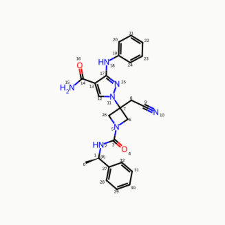 C[C@@H](NC(=O)N1CC(CC#N)(n2cc(C(N)=O)c(Nc3ccccc3)n2)C1)c1ccccc1